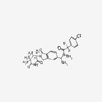 BC(c1ccc2c(c1)CN([C@@]1(B)C(=O)NC(=O)C(B)(B)C1B)C2=O)N(B)C(=O)C(F)(F)c1ccc(Cl)cc1